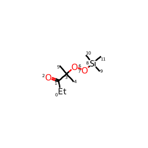 CCC(=O)C(C)(C)OO[Si](C)(C)C